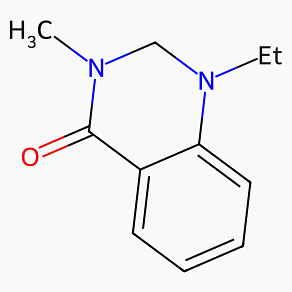 CCN1CN(C)C(=O)c2ccccc21